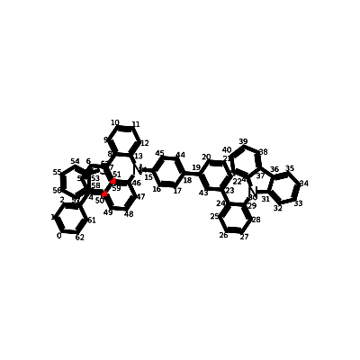 c1ccc(-c2ccc(-c3ccccc3N(c3ccc(-c4cccc(-c5ccccc5-n5c6ccccc6c6ccccc65)c4)cc3)c3cccc4c3sc3ccccc34)cc2)cc1